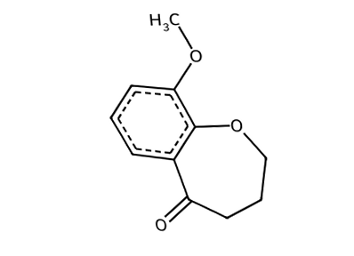 COc1cccc2c1OCCCC2=O